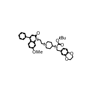 COc1ccc2c(-c3ccccc3)cc(=O)n(CCN3CCC(N(Cc4ccc5c(c4)OCCO5)C(=O)OC(C)(C)C)CC3)c2c1